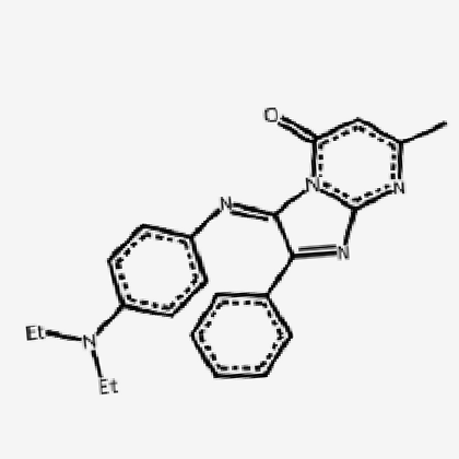 CCN(CC)c1ccc(/N=C2\C(c3ccccc3)=Nc3nc(C)cc(=O)n32)cc1